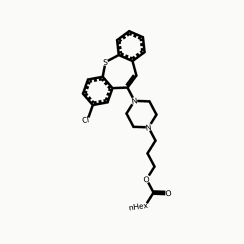 CCCCCCC(=O)OCCCN1CCN(C2=Cc3ccccc3Sc3ccc(Cl)cc32)CC1